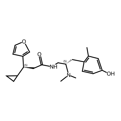 Cc1cc(O)ccc1C[C@@H](CNC(=O)C[C@H](c1ccoc1)C1CC1)N(C)C